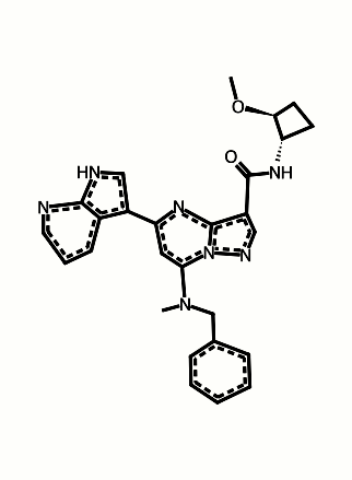 CO[C@H]1CC[C@@H]1NC(=O)c1cnn2c(N(C)Cc3ccccc3)cc(-c3c[nH]c4ncccc34)nc12